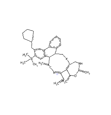 C=C/C1=N/CC(=C)C2C(CCC3=C1C(=C)OC(=C)NC3)c1ccccc1-c1cc(CC3CCCCC3)c([Si](C)(C)C)c[n+]12